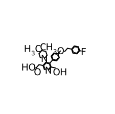 CC1(C)CCN(c2c(CC(=O)O)cnc(CO)c2-c2ccc(OCCc3ccc(F)cc3)cc2)CC1